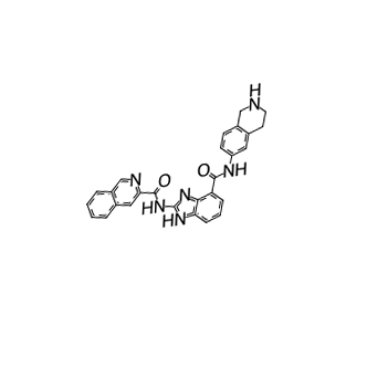 O=C(Nc1nc2c(C(=O)Nc3ccc4c(c3)CCNC4)cccc2[nH]1)c1cc2ccccc2cn1